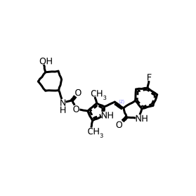 Cc1[nH]c(/C=C2\C(=O)Nc3ccc(F)cc32)c(C)c1OC(=O)NC1CCC(O)CC1